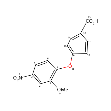 COc1cc([N+](=O)[O-])ccc1Oc1ccc(C(=O)O)cc1